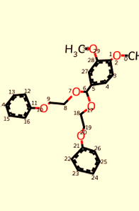 COc1ccc(C(OCCOc2ccccc2)OCCOc2ccccc2)cc1OC